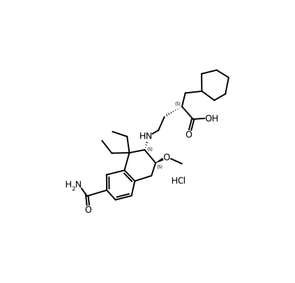 CCC1(CC)c2cc(C(N)=O)ccc2C[C@H](OC)[C@H]1NCC[C@H](CC1CCCCC1)C(=O)O.Cl